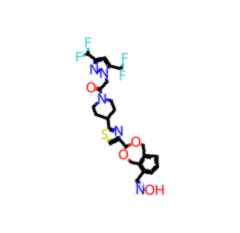 O=C(Cn1nc(C(F)F)cc1C(F)F)N1CCC(c2nc(C3OCc4cccc(/C=N\O)c4CO3)cs2)CC1